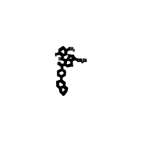 CCOC(=O)c1cnn2c(Nc3cc(C)ccc3F)c(C(=O)N3CCC(c4ccc5ccccc5c4)CC3)cnc12